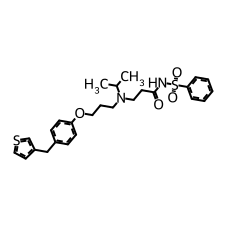 CC(C)N(CCCOc1ccc(Cc2ccsc2)cc1)CCC(=O)NS(=O)(=O)c1ccccc1